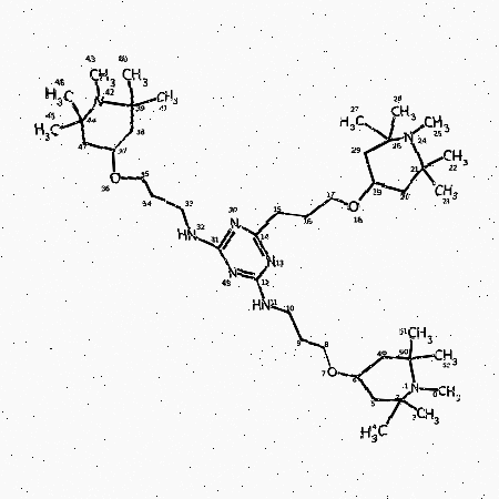 CN1C(C)(C)CC(OCCCNc2nc(CCCOC3CC(C)(C)N(C)C(C)(C)C3)nc(NCCCOC3CC(C)(C)N(C)C(C)(C)C3)n2)CC1(C)C